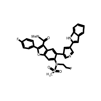 CNC(=O)c1c(-c2ccc(F)cc2)oc2cc(N(CCF)S(C)(=O)=O)c(-c3cncc(-c4cc5ccccc5[nH]4)c3)cc12